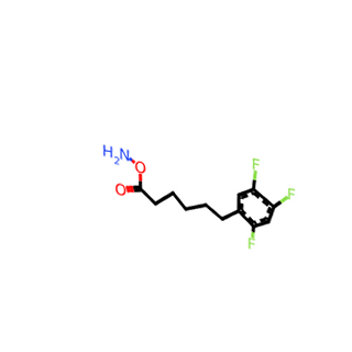 NOC(=O)CCCCCc1cc(F)c(F)cc1F